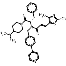 Cc1nc(C)c(/C=C/C(=O)N(Cc2ccc(-c3ccncc3)cc2)[C@@H](Cc2ccccc2)C(=O)N2CCC(N(C)C)CC2)s1